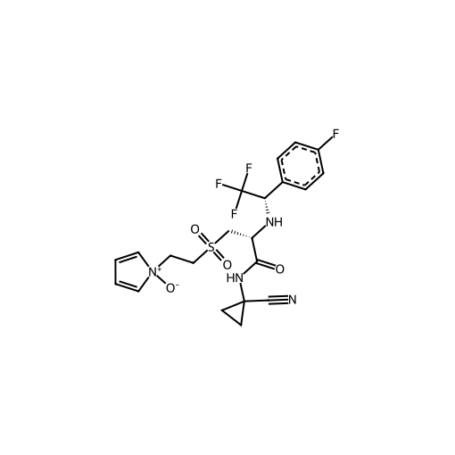 N#CC1(NC(=O)[C@H](CS(=O)(=O)CC[N+]2([O-])C=CC=C2)N[C@@H](c2ccc(F)cc2)C(F)(F)F)CC1